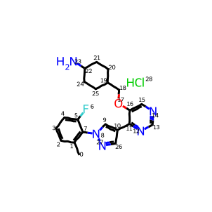 Cc1cccc(F)c1-n1cc(-c2ncncc2OCC2CCC(N)CC2)cn1.Cl